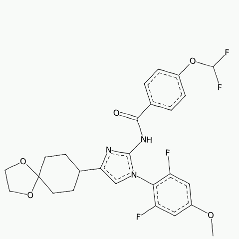 COc1cc(F)c(-n2cc(C3CCC4(CC3)OCCO4)nc2NC(=O)c2ccc(OC(F)F)cc2)c(F)c1